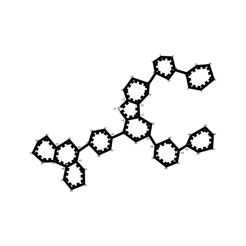 c1ccc(-c2cccc(-c3ccc4sc5c(-c6ccc(-c7cc8ccccc8c8ccccc78)cc6)cc(-c6cccc(-c7ccccc7)c6)cc5c4c3)c2)cc1